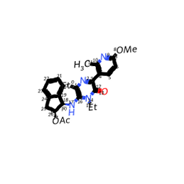 CCc1nc(-c2ccc(OC)nc2C)c(=O)n(CC)c1N[C@@H]1c2ccccc2C[C@@H]1OC(C)=O